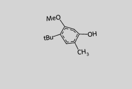 COc1cc(O)c(C)cc1C(C)(C)C